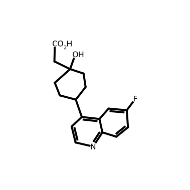 O=C(O)CC1(O)CCC(c2ccnc3ccc(F)cc23)CC1